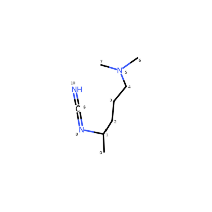 CC(CCCN(C)C)N=C=N